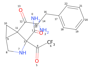 NC(=O)C1(C(=O)C(F)(F)F)NCC2CC21C(=O)[C@@H](N)Cc1ccccc1